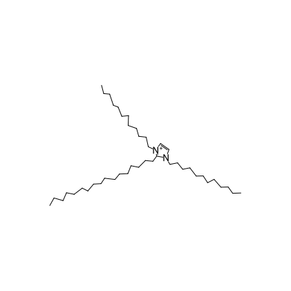 CCCCCCCCCCCCCCCCCc1n(CCCCCCCCCCCC)cc[n+]1CCCCCCCCCCCC